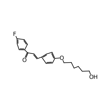 O=C(C=Cc1ccc(OCCCCCCO)cc1)c1ccc(F)cc1